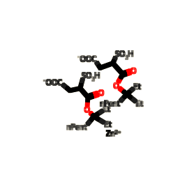 CCCCCC(CC)(CC)OC(=O)C(CC(=O)[O-])S(=O)(=O)O.CCCCCC(CC)(CC)OC(=O)C(CC(=O)[O-])S(=O)(=O)O.[Zn+2]